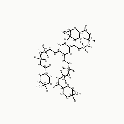 CC(C[Si](C)(C)O[Si](C)(C)CCC1CCC(CC[Si](C)(C)O[Si](C)(C)CC(C)C2CCC3(C)OC3C2)C(CC[Si](C)(C)O[Si](C)(C)CC(C)C2CCC3(C)OC3C2)C1)C1CCC2(C)OC2C1